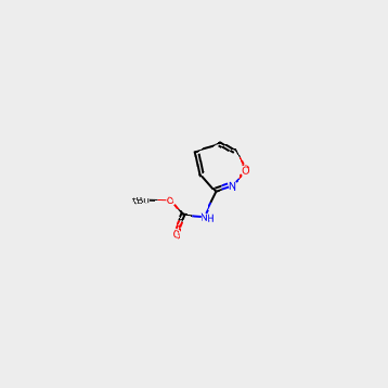 CC(C)(C)OC(=O)NC1=NOC=CC=C1